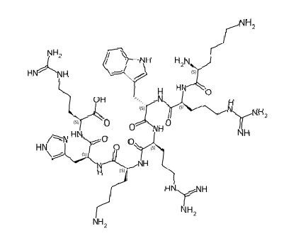 N=C(N)NCCC[C@H](NC(=O)[C@H](Cc1c[nH]cn1)NC(=O)[C@H](CCCCN)NC(=O)[C@H](CCCNC(=N)N)NC(=O)[C@H](Cc1c[nH]c2ccccc12)NC(=O)[C@H](CCCNC(=N)N)NC(=O)[C@@H](N)CCCCN)C(=O)O